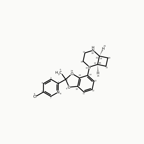 CC1(c2ccc(Cl)cn2)Oc2cccc(N3CCN[C@H]4CC[C@H]43)c2O1